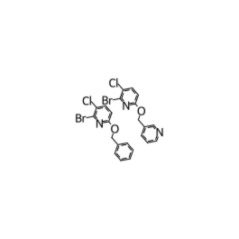 Clc1ccc(OCc2ccccc2)nc1Br.Clc1ccc(OCc2cccnc2)nc1Br